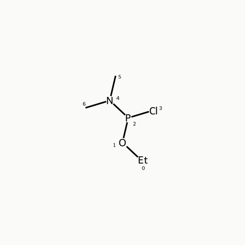 CCOP(Cl)N(C)C